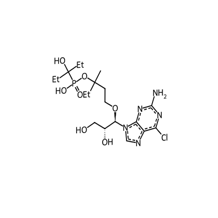 CCC(C)(CCO[C@H]([C@H](O)CO)n1cnc2c(Cl)nc(N)nc21)OP(=O)(O)C(O)(CC)CC